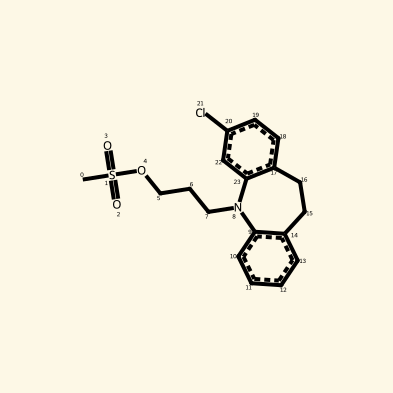 CS(=O)(=O)OCCCN1c2ccccc2CCc2ccc(Cl)cc21